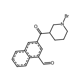 O=Cc1cc(C(=O)C2CCCN(Br)C2)cc2ccccc12